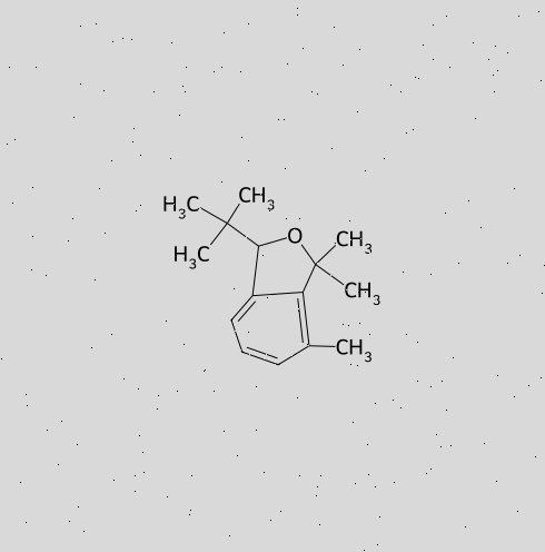 Cc1cccc2c1C(C)(C)OC2C(C)(C)C